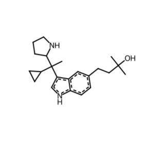 CC(C)(O)CCc1ccc2[nH]cc(C(C)(C3CC3)C3CCCN3)c2c1